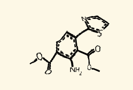 COC(=O)c1ccc(-c2nccs2)c(C(=O)OC)c1N